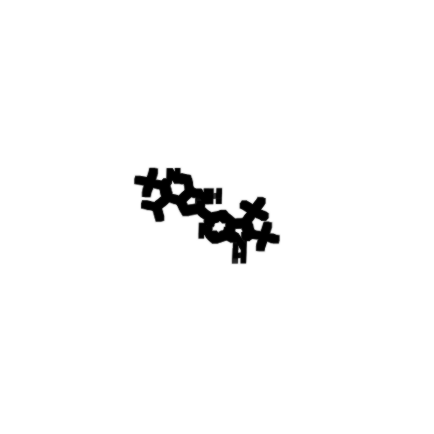 CC(C)C1=C(C(C)(C)C)N=CC2NC(c3cc4c(C(C)(C)C)c(C(C)(C)C)[nH]c4cn3)=CC12